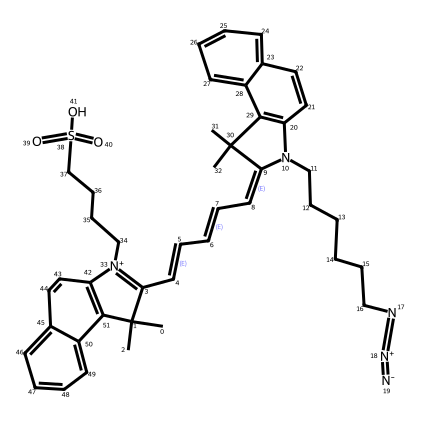 CC1(C)C(/C=C/C=C/C=C2/N(CCCCCCN=[N+]=[N-])c3ccc4ccccc4c3C2(C)C)=[N+](CCCCS(=O)(=O)O)c2ccc3ccccc3c21